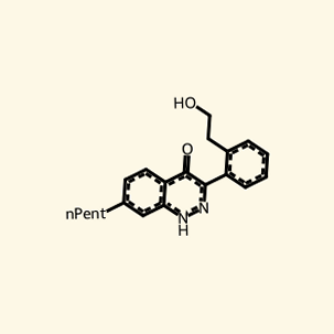 CCCCCc1ccc2c(=O)c(-c3ccccc3CCO)n[nH]c2c1